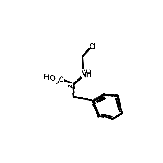 O=C(O)[C@H](Cc1ccccc1)NCCl